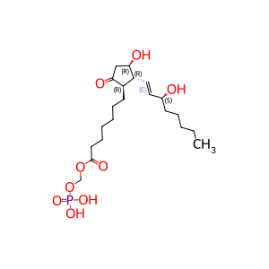 CCCCC[C@H](O)/C=C/[C@H]1[C@H](O)CC(=O)[C@@H]1CCCCCCC(=O)OCOP(=O)(O)O